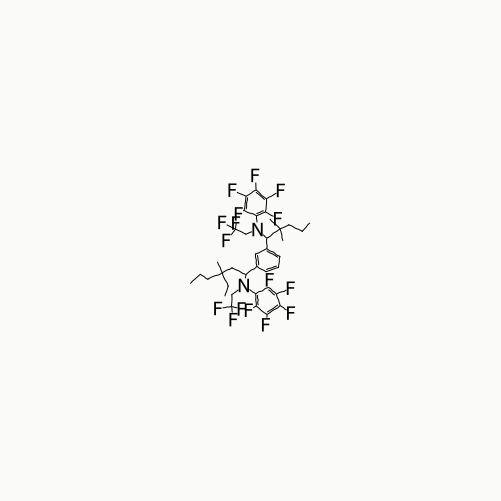 CCCC(C)(CC)CC(c1cccc(C(N(CC(F)(F)F)c2c(F)c(F)c(F)c(F)c2F)C(C)(C)CCC)c1)N(CC(F)(F)F)c1c(F)c(F)c(F)c(F)c1F